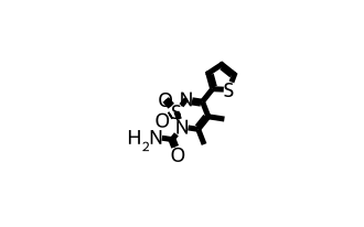 CC1=C(C)N(C(N)=O)S(=O)(=O)N=C1c1cccs1